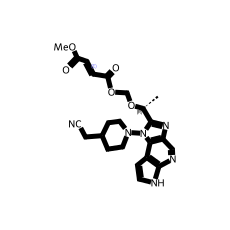 COC(=O)/C=C/C(=O)OCO[C@H](C)c1nc2cnc3[nH]ccc3c2n1N1CCC(CC#N)CC1